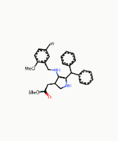 COC(=O)CC1CNC(C(c2ccccc2)c2ccccc2)C1NCc1cc(C(C)C)ccc1OC